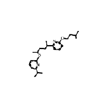 CC(C)CCOc1cccc(C(C)CCC(C)Oc2cccc(C(C)C)n2)n1